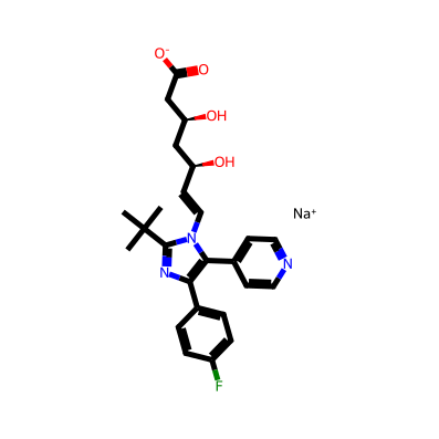 CC(C)(C)c1nc(-c2ccc(F)cc2)c(-c2ccncc2)n1/C=C/[C@H](O)C[C@H](O)CC(=O)[O-].[Na+]